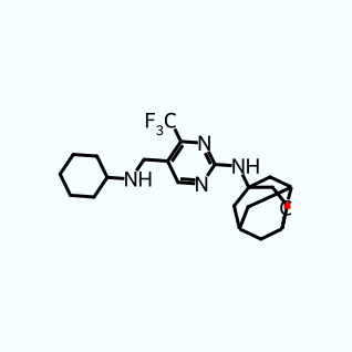 FC(F)(F)c1nc(NC23CCC4CC(CC(C4)C2)C3)ncc1CNC1CCCCC1